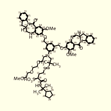 COCCOCCOCCN(CC(C)(C)SSCCC(C(=O)NC(C)(C)C1CCCC1)S(=O)(=O)O)c1cc(COc2cc3c(cc2OC)C(=O)N2c4ccccc4C[C@H]2C=N3)cc(COc2cc3c(cc2OC)C(=O)N2c4ccccc4C[C@H]2CN3)c1